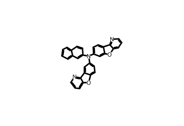 c1ccc2cc(N(c3ccc4c(c3)oc3cccnc34)c3ccc4oc5cccnc5c4c3)ccc2c1